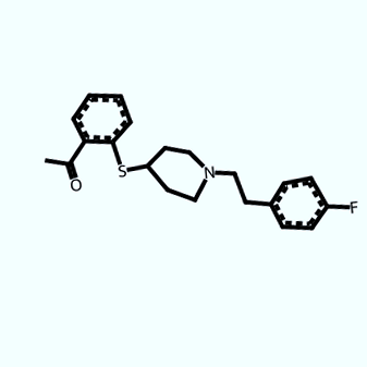 CC(=O)c1ccccc1SC1CCN(CCc2ccc(F)cc2)CC1